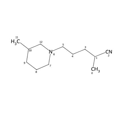 CC(C#N)CCCN1CCCC(C)C1